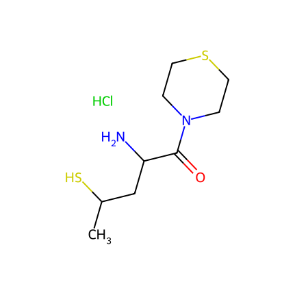 CC(S)CC(N)C(=O)N1CCSCC1.Cl